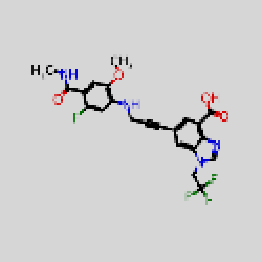 CNC(=O)c1cc(OC)c(NCC#Cc2cc(C(=O)O)c3ncn(CC(F)(F)F)c3c2)cc1F